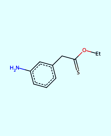 CCOC(=S)Cc1cccc(N)c1